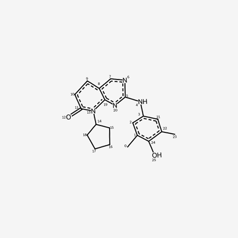 Cc1cc(Nc2ncc3ccc(=O)n(C4CCCC4)c3n2)cc(C)c1O